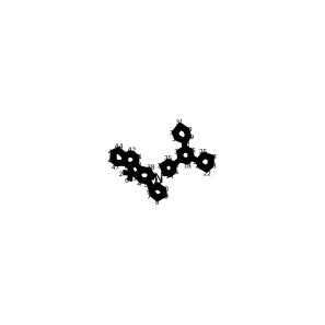 CC1(C)c2cc3c4ccccc4n(-c4ccc(-c5cc(-c6ccccc6)cc(-c6ccccc6)c5)cc4)c3cc2-c2ccc3ccccc3c21